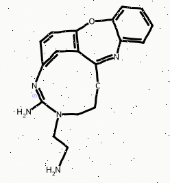 NCCN1CCCC2=Nc3ccccc3Oc3ccc(cc32)/N=C\1N